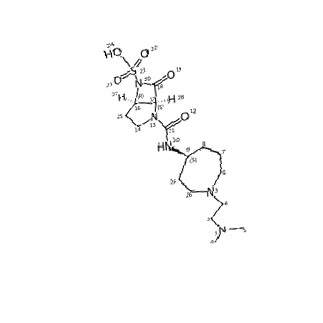 CN(C)CCN1CCC[C@H](NC(=O)N2CC[C@@H]3[C@H]2C(=O)N3S(=O)(=O)O)CC1